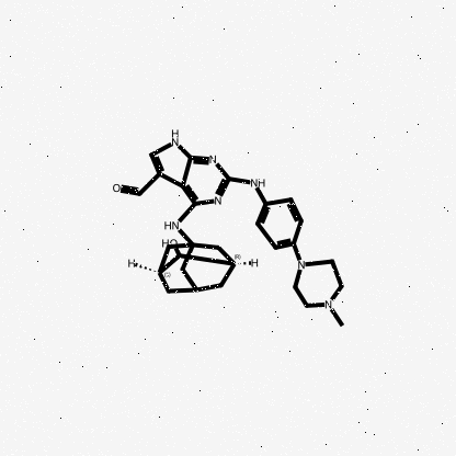 CN1CCN(c2ccc(Nc3nc(NC45CC6C[C@H](C4)C(O)[C@@H](C6)C5)c4c(C=O)c[nH]c4n3)cc2)CC1